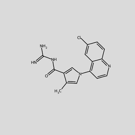 Cc1cn(-c2ccnc3ccc(Cl)cc23)cc1C(=O)NC(=N)N